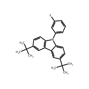 CC(C)(C)c1ccc2c(c1)c1cc(C(C)(C)C)ccc1n2-c1cccc(F)c1